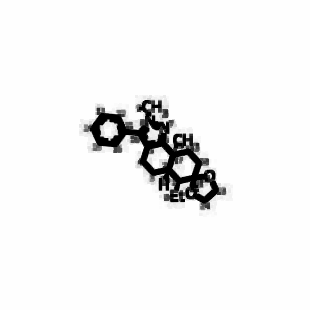 CC[C@H]1[C@@H]2CCc3c(nn(C)c3-c3ccccc3)[C@@]2(C)CCC12OCCO2